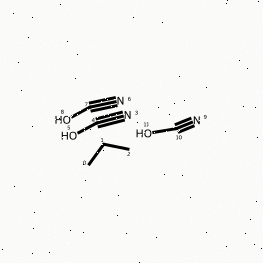 CCC.N#CO.N#CO.N#CO